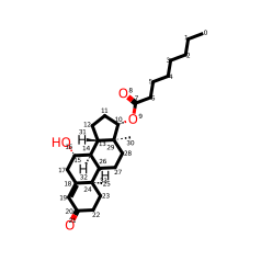 CCCCCCCC(=O)O[C@H]1CC[C@H]2[C@@H]3[C@@H](O)CC4=CC(=O)CC[C@]4(C)[C@H]3CC[C@]12C